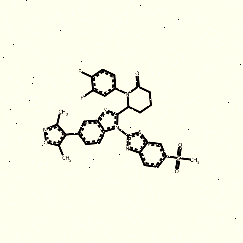 Cc1noc(C)c1-c1ccc2c(c1)nc(C1CCCC(=O)N1c1ccc(F)c(F)c1)n2-c1nc2ccc(S(C)(=O)=O)cc2s1